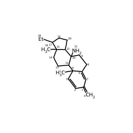 C=C1C=CC2(C)C(=C1)CCC1(N)C2CCC2(C)C(CC)CCC21